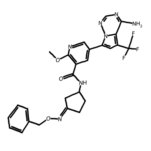 COc1ncc(-c2cc(C(F)(F)F)c3c(N)ncnn23)cc1C(=O)NC1CCC(=NOCc2ccccc2)C1